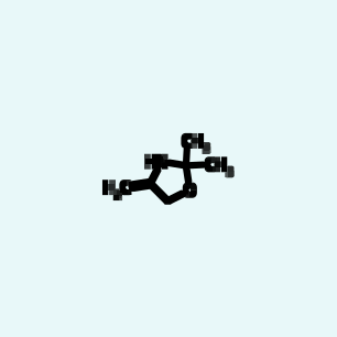 C=C1COC(C)(C)N1